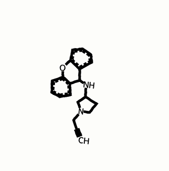 C#CCN1CCC(NC2c3ccccc3Oc3ccccc32)C1